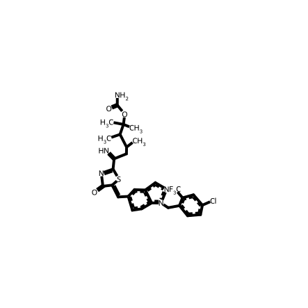 CC(CC(=N)C1=NC(=O)C(=Cc2ccc3c(cnn3Cc3ccc(Cl)cc3C(F)(F)F)c2)S1)C(C)C(C)(C)OC(N)=O